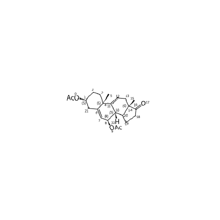 CC(=O)O[C@H]1CC[C@@]2(C)C(=C[C@H](OC(C)=O)[C@@H]3C2=CC[C@]2(C)C(=O)CCC32)C1